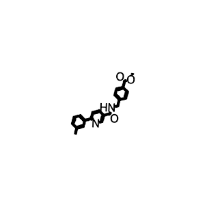 COC(=O)c1ccc(CNC(=O)c2ccc(-c3cccc(C)c3)nc2)cc1